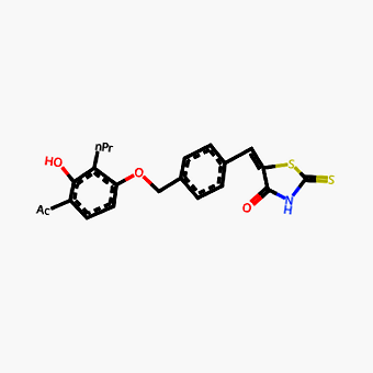 CCCc1c(OCc2ccc(C=C3SC(=S)NC3=O)cc2)ccc(C(C)=O)c1O